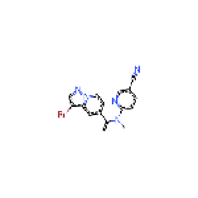 C=C(c1ccn2ncc(Br)c2c1)N(C)c1ccc(C#N)cn1